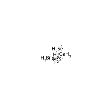 S.[BiH3].[GaH3].[GeH4].[SeH2]